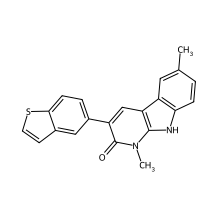 Cc1ccc2[nH]c3c(cc(-c4ccc5sccc5c4)c(=O)n3C)c2c1